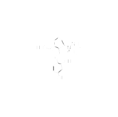 CSc1cccc(N(C)N)c1COc1ccc(O)cc1C